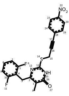 Cc1c(Cc2c(F)cccc2F)nc(SCC#Cc2ccc([N+](=O)[O-])cc2)[nH]c1=O